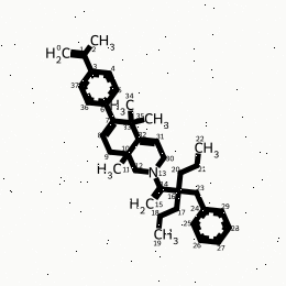 C=C(C)c1ccc(C2=CCC3(C)CN(C(=C)C(CCC)(CCC)Cc4ccccc4)CC=C3C2(C)C)cc1